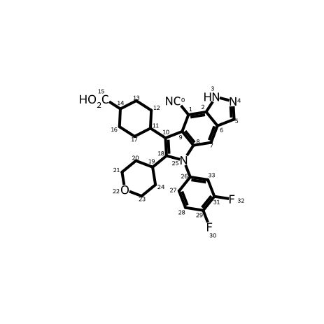 N#Cc1c2[nH]ncc2cc2c1c(C1CCC(C(=O)O)CC1)c(C1CCOCC1)n2-c1ccc(F)c(F)c1